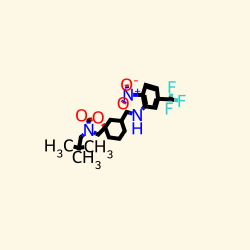 CC(C)(C)CN1CC2(CCCC(CNc3cc(C(F)(F)F)ccc3[N+](=O)[O-])C2)OC1=O